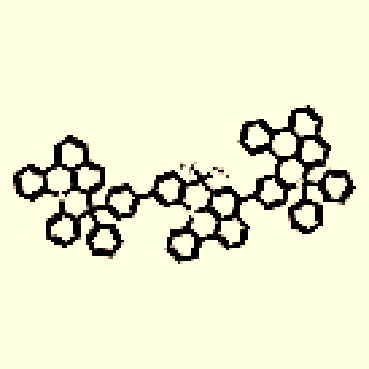 CC1(C)c2ccc(-c3ccc(C4(c5ccccc5)c5ccccc5B5c6ccccc6-c6cccc7ccc4c5c67)cc3)cc2B2c3ccccc3-c3cccc4c(-c5ccc6c(c5)B5c7ccccc7-c7cccc8ccc(c5c78)[Si]6(c5ccccc5)c5ccccc5)cc1c2c34